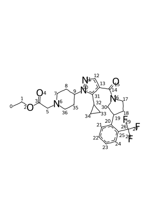 CCOC(=O)CN1CCC(n2ncc(C(=O)N3CCC(c4ccccc4C(F)(F)F)C3)c2C2CC2)CC1